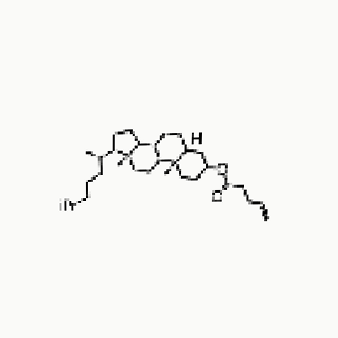 C=CCCC(=O)O[C@H]1CC[C@]2(C)C3CC[C@@]4(C)C(CCC4[C@H](C)CCCC(C)C)C3CC[C@H]2C1